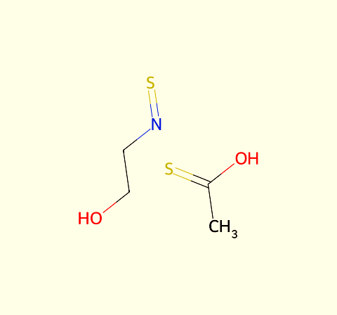 CC(O)=S.OCCN=S